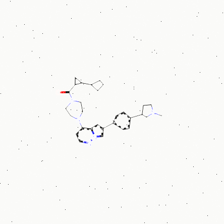 CCN1CCC(c2ccc(-c3cc4c(N5CCN(C(=O)C6CC6C6CCC6)CC5)ccnn4c3)cc2)C1